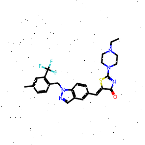 CCN1CCN(C2=NC(=O)/C(=C/c3ccc4c(cnn4Cc4ccc(C)cc4C(F)(F)F)c3)S2)CC1